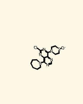 [O-][S+]1CCN(c2nc(Cl)nc3c(N4CCCCCC4)ncnc23)CC1